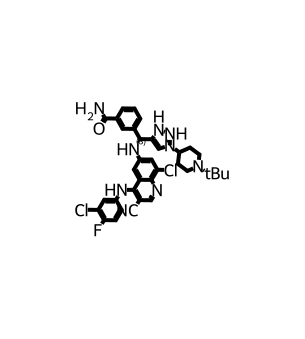 CC(C)(C)N1CCC(N2C=C([C@@H](Nc3cc(Cl)c4ncc(C#N)c(Nc5ccc(F)c(Cl)c5)c4c3)c3cccc(C(N)=O)c3)NN2)CC1